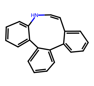 c1ccc2c(c1)cc[nH]c1ccccc1c1ccccc21